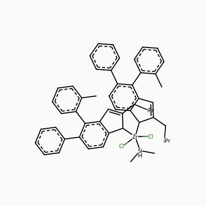 Cc1ccccc1-c1c(-c2ccccc2)ccc2c1C=C(CC(C)C)[CH]2[Zr]([Cl])([Cl])([CH]1C(CC(C)C)=Cc2c1ccc(-c1ccccc1)c2-c1ccccc1C)[SiH](C)C